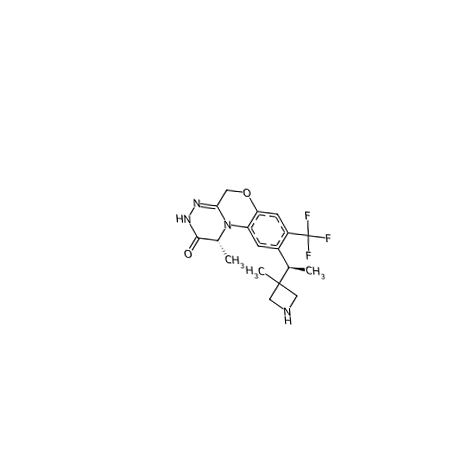 C[C@@H]1C(=O)NN=C2COc3cc(C(F)(F)F)c([C@@H](C)C4(C)CNC4)cc3N21